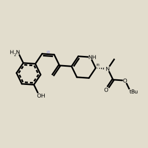 C=C(/C=C\c1cc(O)ccc1N)C1=CN[C@H](N(C)C(=O)OC(C)(C)C)CC1